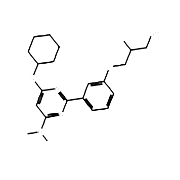 CNCC(O)COc1cccc(-c2nc(NC3CCCCC3)cc(N(C)C)n2)c1